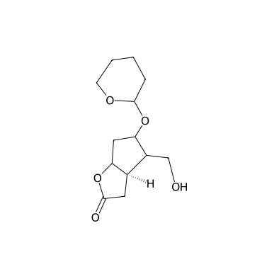 O=C1C[C@H]2C(CC(OC3CCCCO3)C2CO)O1